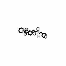 O=C(NCC1CCOCC1)c1cc2cc(S(=O)(=O)N3CCCCCC3)ccc2o1